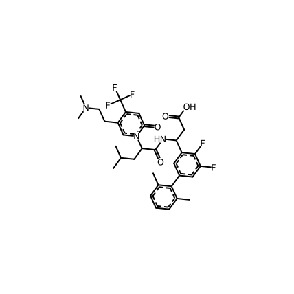 Cc1cccc(C)c1-c1cc(F)c(F)c(C(CC(=O)O)NC(=O)C(CC(C)C)n2cc(CCN(C)C)c(C(F)(F)F)cc2=O)c1